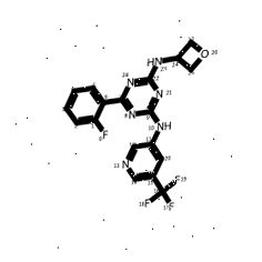 Fc1ccccc1-c1nc(Nc2cncc(C(F)(F)F)c2)nc(NC2COC2)n1